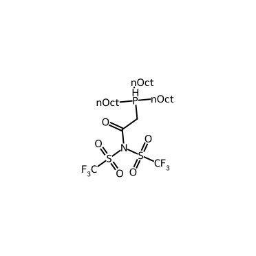 CCCCCCCC[PH](CCCCCCCC)(CCCCCCCC)CC(=O)N(S(=O)(=O)C(F)(F)F)S(=O)(=O)C(F)(F)F